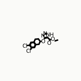 CCOC(=O)c1[nH]nnc1OC1CCc2cc(Cl)c(Cl)cc2C1